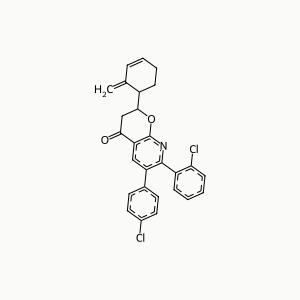 C=C1C=CCCC1C1CC(=O)c2cc(-c3ccc(Cl)cc3)c(-c3ccccc3Cl)nc2O1